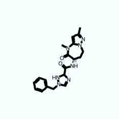 Cc1cc2n(n1)CC[C@H](NC(=O)C1N=CN(Cc3ccccc3)N1)C(=O)N2C